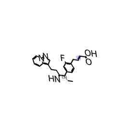 CC[C@H](C(=N)CCc1cnn2ccccc12)c1ccc(C/C=C/C(=O)O)c(F)c1